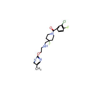 Cc1cnc(OCCNCC2(F)CCN(C(=O)c3ccc(F)c(Cl)c3)CC2)nc1